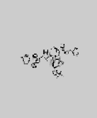 Cc1ccc(S(=O)(=O)OC[C@@H]2CN(C(=O)OC(C)(C)C)[C@@H]3CN(C(=O)OCc4ccccc4)CC[C@H]23)cc1